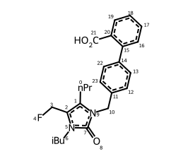 CCCc1c(CF)n(C(C)CC)c(=O)n1Cc1ccc(-c2ccccc2C(=O)O)cc1